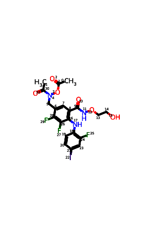 CC(=O)ON(Cc1cc(C(=O)NOCCO)c(Nc2ccc(I)cc2F)c(F)c1F)C(C)=O